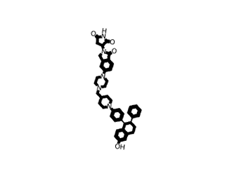 O=C1CC(N2Cc3cc(N4CCN(CC5CCN(c6ccc([C@@H]7c8ccc(O)cc8CC[C@@H]7c7ccccc7)cc6)CC5)CC4)ccc3C2=O)C(=O)N1